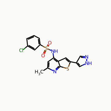 Cc1cc(NS(=O)(=O)c2cccc(Cl)c2)c2cc(-c3cn[nH]c3)sc2n1